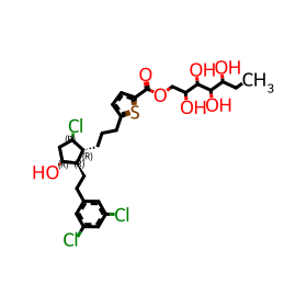 CCC(O)C(O)C(O)C(O)COC(=O)c1ccc(CCC[C@@H]2[C@@H](CCc3cc(Cl)cc(Cl)c3)[C@H](O)C[C@H]2Cl)s1